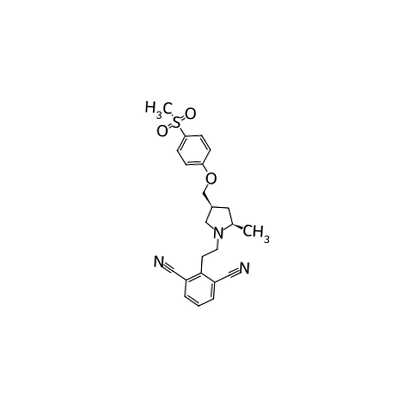 C[C@@H]1C[C@H](COc2ccc(S(C)(=O)=O)cc2)CN1CCc1c(C#N)cccc1C#N